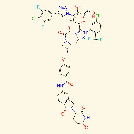 Cc1nc([C@@H]2O[C@H](CO)[C@H](O)[C@H](n3cc(-c4cc(F)c(Cl)c(F)c4)nn3)[C@H]2OCC(=O)N2CC(COc3ccc(C(=O)Nc4ccc5c(c4)CN(C4CCC(=O)NC4=O)C5=O)cc3)C2)n(-c2cc(Cl)ccc2C(F)(F)F)n1